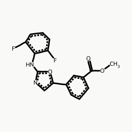 COC(=O)c1cccc(-c2cnc(Nc3c(F)cccc3F)o2)c1